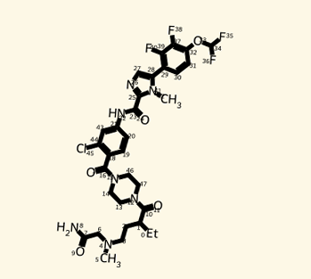 CCC(CCN(C)CC(N)=O)C(=O)N1CCN(C(=O)c2ccc(NC(=O)c3ncc(-c4ccc(OC(F)F)c(F)c4F)n3C)cc2Cl)CC1